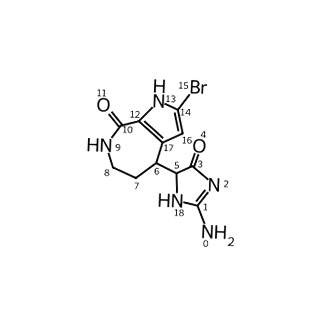 NC1=NC(=O)C(C2CCNC(=O)c3[nH]c(Br)cc32)N1